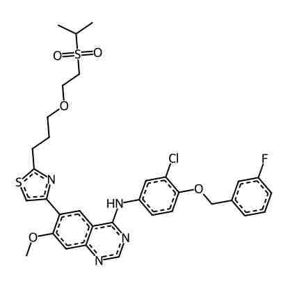 COc1cc2ncnc(Nc3ccc(OCc4cccc(F)c4)c(Cl)c3)c2cc1-c1csc(CCCOCCS(=O)(=O)C(C)C)n1